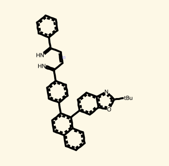 CC(C)(C)c1nc2ccc(-c3c(-c4ccc(C(=N)/C=C\C(=N)c5ccccc5)cc4)ccc4ccccc34)cc2o1